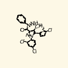 Cc1c(C(=O)N(N)c2ccccc2)nn(-c2ccc(Cl)cc2Cl)c1-c1ccc(Cl)s1